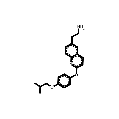 CC(C)COc1ccc(Oc2ccc3cc(CCN)ccc3n2)cc1